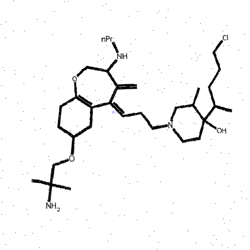 C=C1/C(=C\CCN2CCC(O)(C(C)CCCCl)C(C)C2)C2=C(CCC(OCC(C)(C)N)C2)OCC1NCCC